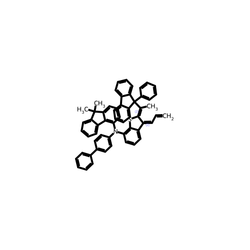 C=C/C=c1\c(=C(/C)C2(c3ccccc3)c3ccccc3-c3ccccc32)sc2c(N(c3ccc(-c4ccccc4)cc3)c3cccc4c3-c3ccccc3C4(C)C)cccc12